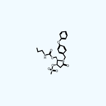 CCCNC(=O)OC[C@@H]1[C@H](OS(C)(=O)=O)CC(=O)N1Cc1ccc(Oc2ccccc2)cc1